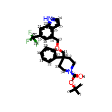 CC(C)(C)OC(=O)N1CCC(COCc2cc(C(F)(F)F)cc3[nH]ccc23)(c2ccccc2)CC1